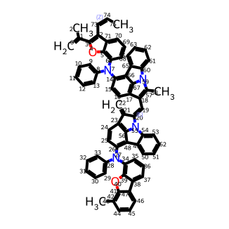 C=C(C)c1oc2c(N(c3ccccc3)c3ccc4c(/C=c5\c(=C)c6ccc(N(c7ccccc7)c7cccc8c7oc7c(C)cccc78)c7c8ccccc8n5c67)c(C)n5c6ccccc6c3c45)cccc2c1/C=C\C